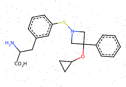 NC(Cc1cccc(SN2CC(OC3CC3)(c3ccccc3)C2)c1)C(=O)O